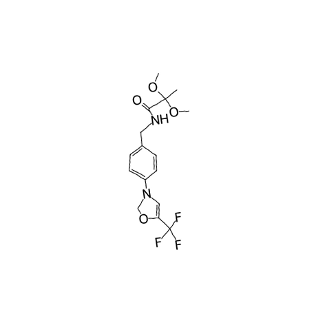 COC(C)(OC)C(=O)NCc1ccc(N2C=C(C(F)(F)F)OC2)cc1